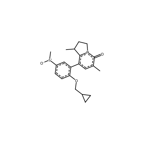 Cc1cc(-c2cc([S+](C)[O-])ccc2OCC2CC2)c2n(c1=O)CCC2C